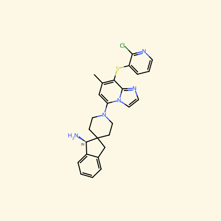 Cc1cc(N2CCC3(CC2)Cc2ccccc2[C@H]3N)n2ccnc2c1Sc1cccnc1Cl